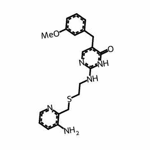 COc1cccc(Cc2cnc(NCCSCc3ncccc3N)[nH]c2=O)c1